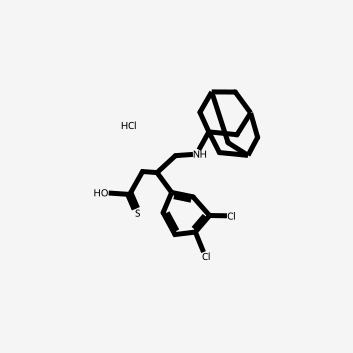 Cl.OC(=S)CC(CNC12CC3CC(CC(C3)C1)C2)c1ccc(Cl)c(Cl)c1